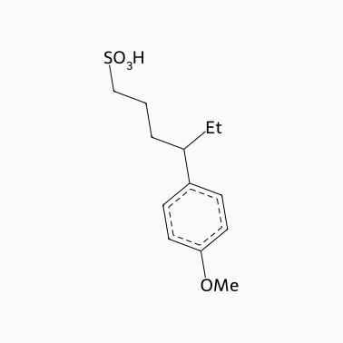 CCC(CCCS(=O)(=O)O)c1ccc(OC)cc1